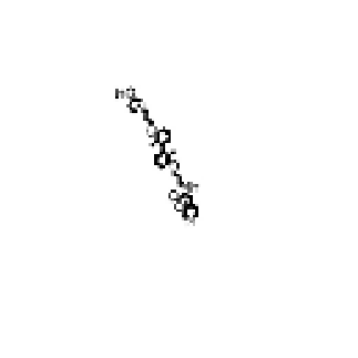 Cc1c(OCCCNC(Cc2ccncc2)C(=O)O)cccc1-c1cccc(OCCCN2CCC(O)C2)c1C